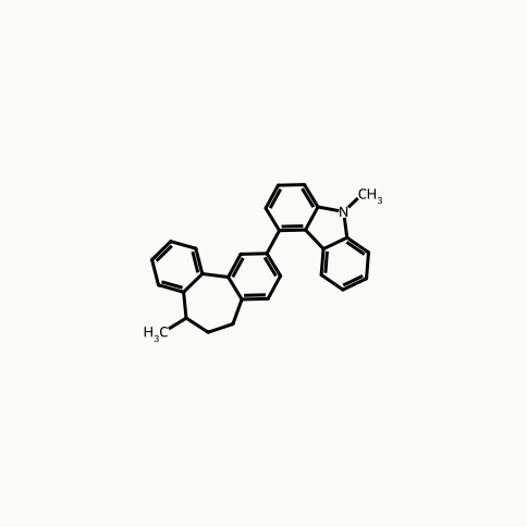 CC1CCc2ccc(-c3cccc4c3c3ccccc3n4C)cc2-c2ccccc21